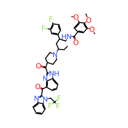 CCC(CC(CNC(=O)c1cc(OC)c(OC)c(OC)c1)c1ccc(F)c(F)c1)N1CCC(C(=O)c2nc3c(C(=O)c4nc5ccccc5n4CC(F)(F)F)cccc3[nH]2)CC1